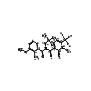 COc1cccc(C(=O)N(NC(C)(C)C)C(=O)c2ccc(C(F)(F)F)n(C)c2=O)c1C